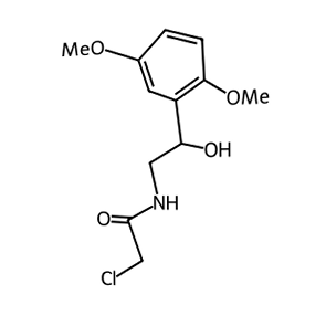 COc1ccc(OC)c(C(O)CNC(=O)CCl)c1